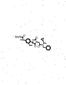 CNC(=O)Nc1ccc2c(c1)CC[C@@]21OC(=O)N(CC(=O)N(Cc2ccccc2)C(C)C2CC2)C1=O